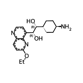 CCOc1ccc2nccc([C@@H](O)[C@H](O)[C@H]3CC[C@H](N)CC3)c2n1